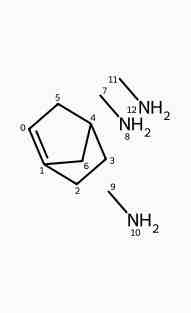 C1=C2CCC(C1)C2.CN.CN.CN